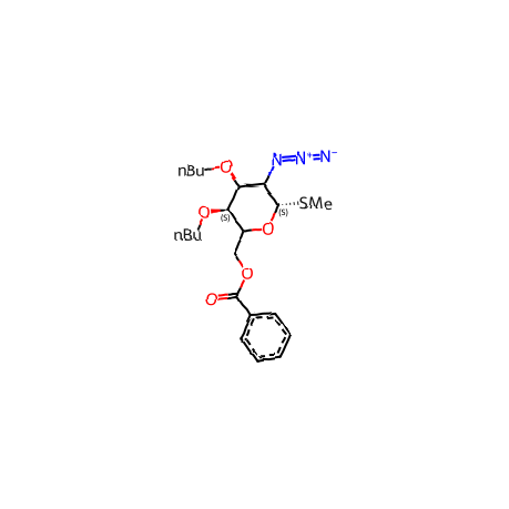 CCCCOC1C(N=[N+]=[N-])[C@H](SC)OC(COC(=O)c2ccccc2)[C@H]1OCCCC